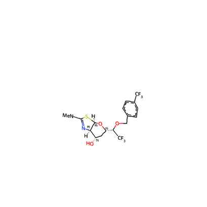 CNC1=N[C@H]2[C@H](O[C@H](C(OCc3ccc(C(F)(F)F)cc3)C(F)(F)F)C[C@@H]2O)S1